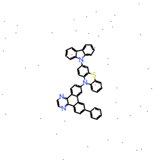 c1ccc(-c2ccc3c(c2)c2cc(N4c5ccccc5Sc5cc(-n6c7ccccc7c7ccccc76)ccc54)ccc2c2nccnc32)cc1